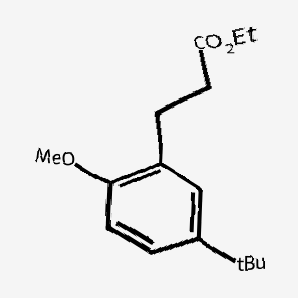 CCOC(=O)CCc1cc(C(C)(C)C)ccc1OC